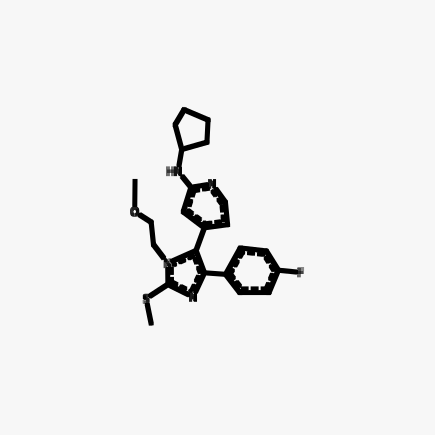 COCCn1c(SC)nc(-c2ccc(F)cc2)c1-c1ccnc(NC2CCCC2)c1